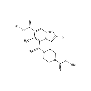 C=C(c1c(C)c(C(=O)OC(C)C)cc2cc(Br)cn12)N1CCN(C(=O)OC(C)(C)C)CC1